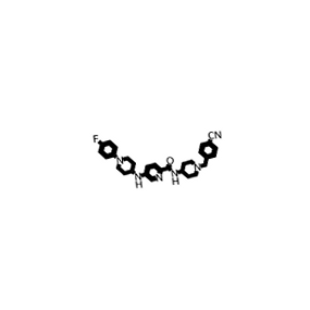 N#Cc1ccc(CN2CCC(NC(=O)c3ccc(NC4CCN(c5ccc(F)cc5)CC4)cn3)CC2)cc1